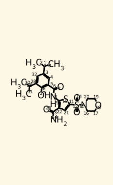 CC(C)c1cc(C(=O)Nc2sc(S(=O)(=O)N3CCOCC3)cc2C(N)=O)c(O)c(C(C)C)c1